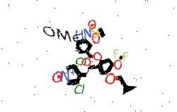 C=CS(=O)(=O)Nc1cc(C(=O)O[C@@H](Cc2c(Cl)c[n+]([O-])cc2Cl)c2ccc(OC(F)F)c(OCC3CC3)c2)ccc1OC